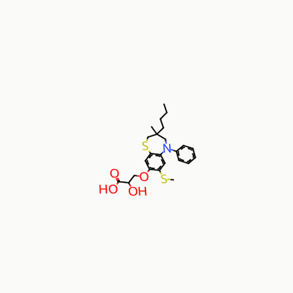 CCCCC1(C)CSc2cc(OCC(O)C(=O)O)c(SC)cc2N(c2ccccc2)C1